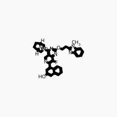 Cn1c(CCOc2nc(N3C[C@H]4CC[C@@H](C3)N4C(=O)O)c3cnc(-c4cc(O)cc5ccccc45)c(F)c3n2)nc2ccccc21